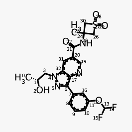 C[C@@H](O)Cn1nc(-c2cccc(OC(F)F)c2)c2ncc(C(=O)NC3(C)CS(=O)(=O)C3)cc21